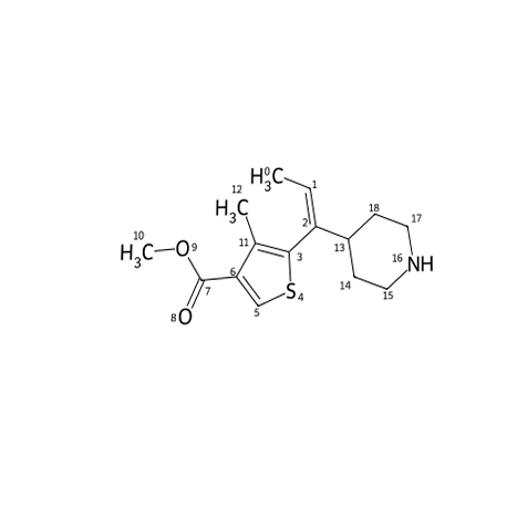 C/C=C(\c1scc(C(=O)OC)c1C)C1CCNCC1